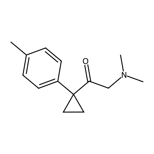 Cc1ccc(C2(C(=O)CN(C)C)CC2)cc1